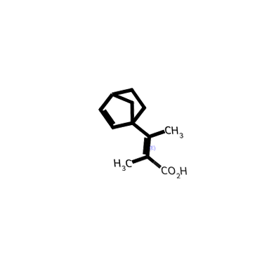 C/C(C(=O)O)=C(/C)C12C=CC(CC1)C2